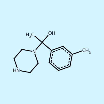 Cc1cccc(C(C)(O)N2CCNCC2)c1